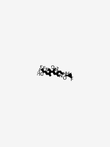 Cc1cc([C@H](O)C(F)(F)F)ncc1-c1cc2cnc(NC(=O)[C@H]3C[C@H]3F)cc2n(C)c1=O